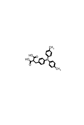 Cc1ccc(N(c2ccc(C)cc2)c2ccc(CC(C(=O)O)C(=O)O)cc2)cc1